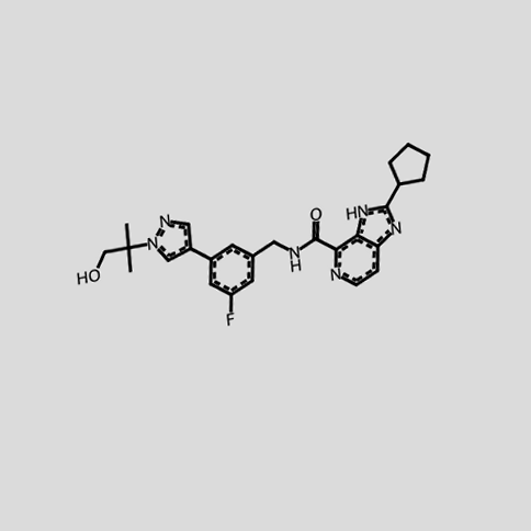 CC(C)(CO)n1cc(-c2cc(F)cc(CNC(=O)c3nccc4nc(C5CCCC5)[nH]c34)c2)cn1